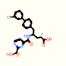 C[C@@H](CC(Cc1ccc(-c2cccc(Cl)c2)cc1)NC(=O)c1ccnc(C(=O)O)n1)C(=O)O